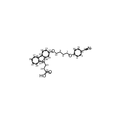 N#Cc1ccc(OCCCCOc2ccc3c4ccccc4n(CCC(=O)O)c3c2)cc1